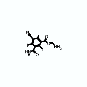 CNC(=O)c1c(I)c(C#N)c(I)c(C(=O)OCN)c1I